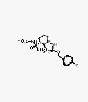 N[P@@](=O)(NS(=O)(=O)O)N1CCC[C@@H](NC(=O)OCc2ccc(Cl)cc2)C1=O